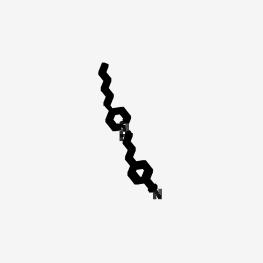 CCCCCC[C@H]1CC[Si@H](CCCCc2ccc(C#N)cc2)CC1